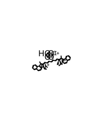 CC[N+]1(CC)C(C=CC=CC=CC=C2C(C)c3c(ccc4ccccc34)[N+]2(CC)CC)=C(C)c2c1ccc1ccccc21.[O-][Cl+3]([O-])([O-])O